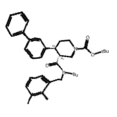 CCC(C)N(Cc1cccc(C)c1C)C(=O)[C@H]1CN(C(=O)OC(C)(C)C)CC[C@@H]1c1cccc(-c2ccccc2)c1